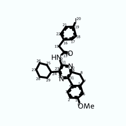 COc1ccc2c(c1)CCc1nc(NC(=O)Cc3ccc(I)cc3)c(C3CCCCC3)nc1-2